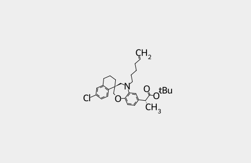 C=CCCCCN1C[C@@]2(CCCc3cc(Cl)ccc32)COc2ccc([C@@H](C)C(=O)OC(C)(C)C)cc21